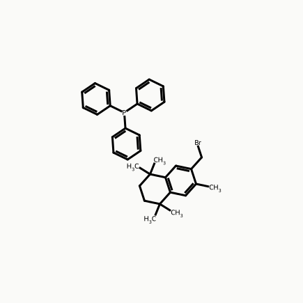 Cc1cc2c(cc1CBr)C(C)(C)CCC2(C)C.c1ccc(P(c2ccccc2)c2ccccc2)cc1